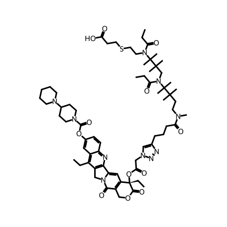 CCC(=O)N(CC(C)(C)C(C)(C)N(CCSCCC(=O)O)C(=O)CC)C(C)(C)C(C)(C)CCN(C)C(=O)CCCc1cn(CC(=O)O[C@]2(CC)C(=O)OCc3c2cc2n(c3=O)Cc3c-2nc2ccc(OC(=O)N4CCC(N5CCCCC5)CC4)cc2c3CC)nn1